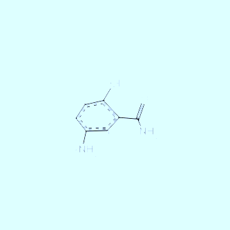 NC(=O)c1cc(N)ccc1O